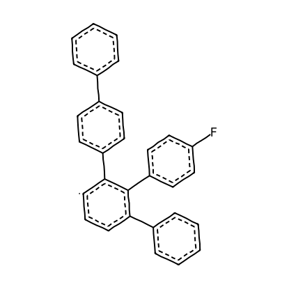 Fc1ccc(-c2c(-c3ccc(-c4ccccc4)cc3)[c]ccc2-c2ccccc2)cc1